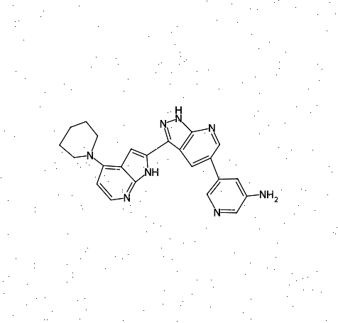 Nc1cncc(-c2cnc3[nH]nc(-c4cc5c(N6CCCCC6)ccnc5[nH]4)c3c2)c1